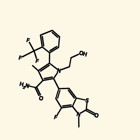 Cc1c(C(N)=O)c(-c2cc(F)c3c(c2)sc(=O)n3C)n(CCO)c1-c1ccccc1C(F)(F)F